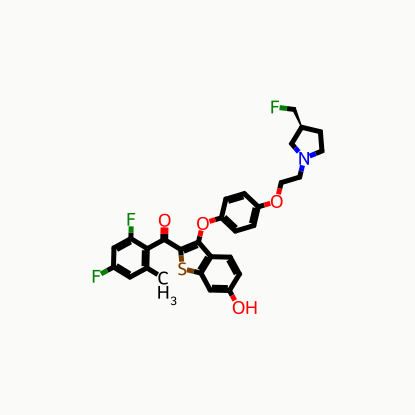 Cc1cc(F)cc(F)c1C(=O)c1sc2cc(O)ccc2c1Oc1ccc(OCCN2CC[C@H](CF)C2)cc1